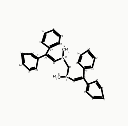 CN(C=C(c1ccccc1)c1ccccc1)CN(C)C=C(c1ccccc1)c1ccccc1